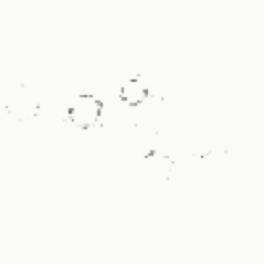 Cc1noc(-c2cnc(OC3CCCCC3)cn2)c1COC(=O)N(C)CCC(C)C